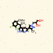 COc1ccc(F)c(Cl)c1[C@@H](C)c1c[nH]c2ncc(-c3cn(CC(O)CO)nc3C(F)(F)F)cc12